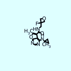 Cc1oc2ncnc(NC3(C)CC3)c2c1C(=O)NCC1(F)COC1